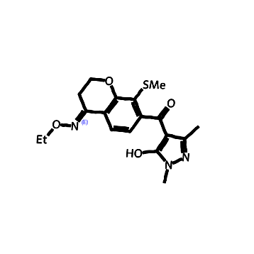 CCO/N=C1\CCOc2c1ccc(C(=O)c1c(C)nn(C)c1O)c2SC